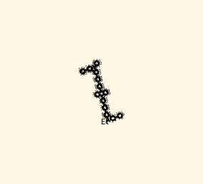 CCn1c2ccc(-c3ccccc3)cc2c2cc(-c3ccc(-c4ccc(-c5c6ccccc6c(-c6ccc(-c7ccc(-c8ccc9c(c8)c8cc(-c%10ccccc%10)ccc8n9-c8ccccc8)cc7)cc6)c6ccccc56)cc4)cc3)ccc21